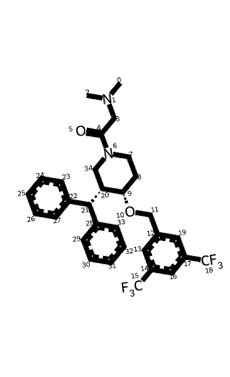 CN(C)CC(=O)N1CC[C@H](OCc2cc(C(F)(F)F)cc(C(F)(F)F)c2)[C@H](C(c2ccccc2)c2ccccc2)C1